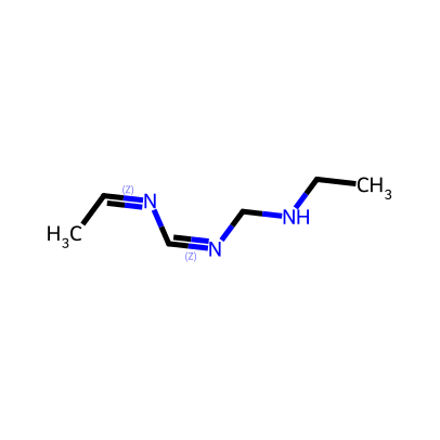 C/C=N\C=N/CNCC